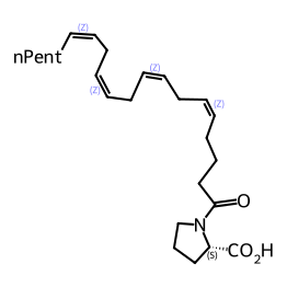 CCCCC/C=C\C/C=C\C/C=C\C/C=C\CCCC(=O)N1CCC[C@H]1C(=O)O